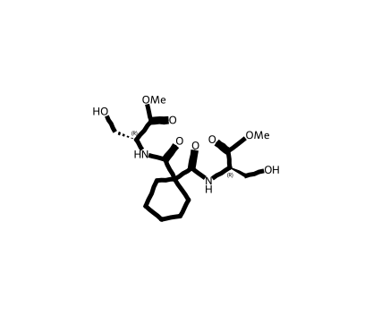 COC(=O)[C@@H](CO)NC(=O)C1(C(=O)N[C@H](CO)C(=O)OC)CCCCC1